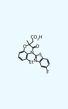 CCc1cccc2c1N(c1nc3cc(F)ccc3s1)C(=O)C(C)(CC(=O)O)O2